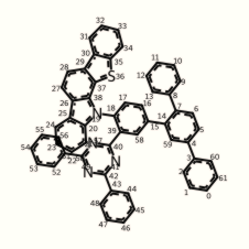 c1ccc(-c2ccc(-c3ccccc3)c(-c3ccc(-n4c5ccccc5c5ccc6c7ccccc7sc6c54)c(-c4nc(-c5ccccc5)nc(-c5ccccc5)n4)c3)c2)cc1